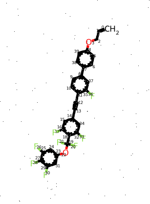 C=CCOc1ccc(-c2ccc(C#Cc3cc(F)c(C(F)(F)Oc4cc(F)c(F)c(F)c4)c(F)c3)c(F)c2)cc1